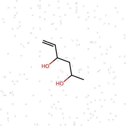 C=CC(O)CC(C)O